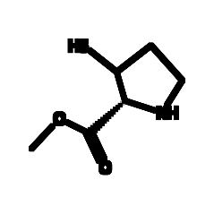 COC(=O)[C@H]1NCCC1S